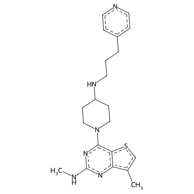 CNc1nc(N2CCC(NCCCc3ccncc3)CC2)c2scc(C)c2n1